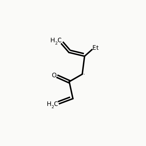 C=C=C([CH]C(=O)C=C)CC